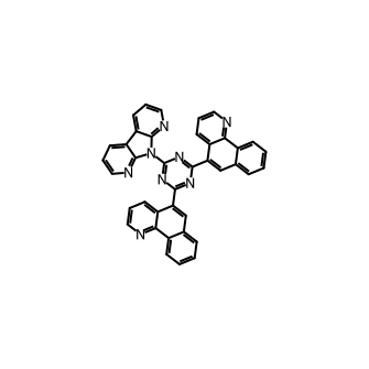 c1ccc2c(c1)cc(-c1nc(-c3cc4ccccc4c4ncccc34)nc(-n3c4ncccc4c4cccnc43)n1)c1cccnc12